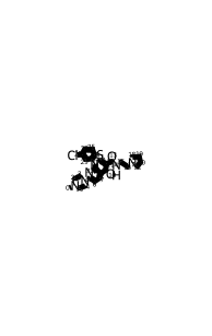 CN1CCN(c2ccc3c(=O)c(C(=O)NCCN4CCCC4)c4sc5ccc(Cl)cc5n4c3n2)CC1